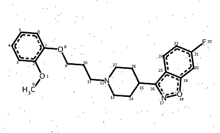 COc1ccc[c]c1OCCCN1CCC(c2noc3cc(F)ccc23)CC1